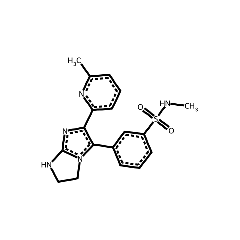 CNS(=O)(=O)c1cccc(-c2c(-c3cccc(C)n3)nc3n2CCN3)c1